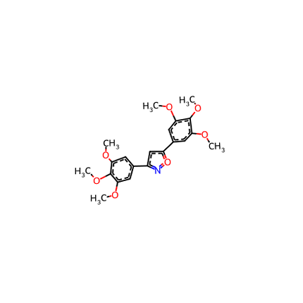 COc1cc(-c2cc(-c3cc(OC)c(OC)c(OC)c3)on2)cc(OC)c1OC